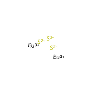 [Eu+3].[Eu+3].[S-2].[S-2].[S-2]